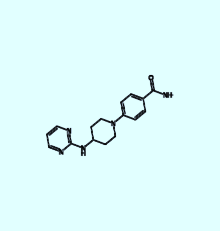 [NH]C(=O)c1ccc(N2CCC(Nc3ncccn3)CC2)cc1